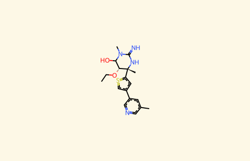 CCO[C@@H]1C(O)N(C)C(=N)N[C@]1(C)c1cc(-c2cncc(C)c2)cs1